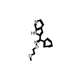 COCCO/N=C(\c1ccccc1)c1cc2ccncc2[nH]1